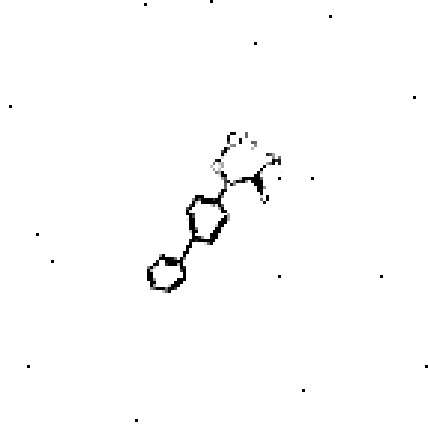 CON(C(C)=O)c1ccc(-c2ccccc2)cc1